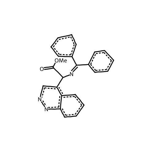 COC(=O)C(N=C(c1ccccc1)c1ccccc1)c1cnnc2ccccc12